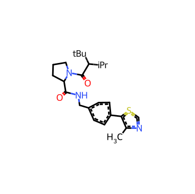 Cc1ncsc1-c1ccc(CNC(=O)C2CCCN2C(=O)C(C(C)C)C(C)(C)C)cc1